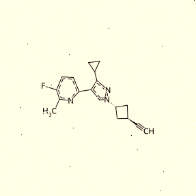 C#C[C@H]1C[C@H](n2cc(-c3ccc(F)c(C)n3)c(C3CC3)n2)C1